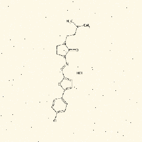 CN(C)CCN1CCN(N=Cc2ccc(-c3ccc(Cl)cc3)o2)C1=O.Cl